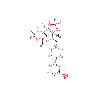 CC1(C)O[C@H]2[C@@H](O1)[C@@H](CN1CCN(c3cccc(O)c3)CC1)O[C@@H]1OC(C)(C)O[C@@H]12